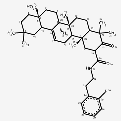 CC1(C)CC[C@]2(C(=O)O)CC[C@]3(C)C(=CCC4[C@@]5(C)CC(C(=O)NCCc6ccccc6F)C(=O)C(C)(C)C5CC[C@]43C)C2C1